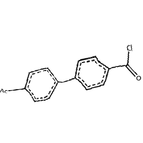 CC(=O)c1ccc(-c2ccc(C(=O)Cl)cc2)cc1